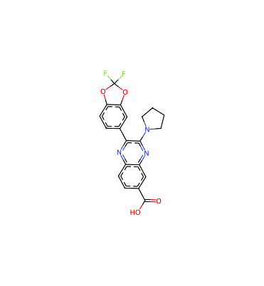 O=C(O)c1ccc2nc(-c3ccc4c(c3)OC(F)(F)O4)c(N3CCCC3)nc2c1